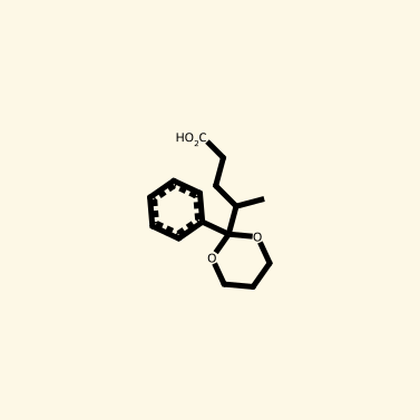 CC(CCC(=O)O)C1(c2ccccc2)OCCCO1